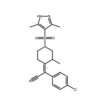 Cc1n[nH]c(C)c1S(=O)(=O)N1CC/C(=C(\C#N)c2ccc(Cl)cc2)C(C)C1